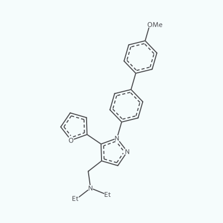 CCN(CC)Cc1cnn(-c2ccc(-c3ccc(OC)cc3)cc2)c1-c1ccco1